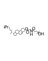 CC(C)CCCC(C)[C@H]1CCC2C3CC=C4C[C@@H](OC(=O)CNC(=O)CCC(C)(C)O)CC[C@]4(C)C3CCC21